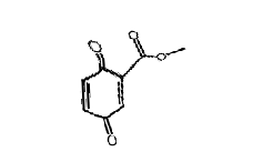 COC(=O)C1=CC(=O)C=CC1=O